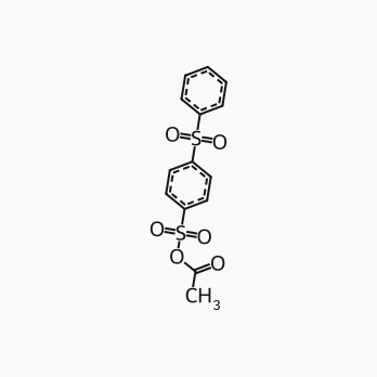 CC(=O)OS(=O)(=O)c1ccc(S(=O)(=O)c2ccccc2)cc1